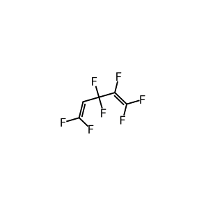 FC(F)=CC(F)(F)C(F)=C(F)F